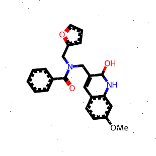 COc1ccc2c(c1)NC(O)C(CN(Cc1ccco1)C(=O)c1ccccc1)=C2